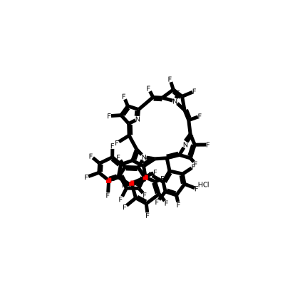 Cl.FC1=C(F)c2nc1c(F)c1c(F)c(F)c(c(F)c3nc(c(-c4c(F)c(F)c(F)c(F)c4F)c4c(-c5c(F)c(F)c(F)c(F)c5F)c(-c5c(F)c(F)c(F)c(F)c5F)c(c2F)n4-c2c(F)c(F)c(F)c(F)c2F)C(F)=C3F)n1F